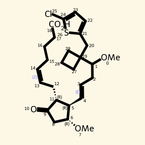 COC(C/C=C/[C@H]1[C@H](OC)CC(=O)[C@@H]1C/C=C\CCCC(=O)O)C1(Cc2ccc(Cl)s2)CCC1